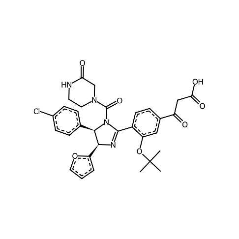 CC(C)(C)Oc1cc(C(=O)CC(=O)O)ccc1C1=N[C@@H](c2ccco2)[C@@H](c2ccc(Cl)cc2)N1C(=O)N1CCNC(=O)C1